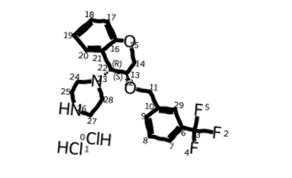 Cl.Cl.FC(F)(F)c1cccc(CO[C@@H]2COc3ccccc3[C@H]2N2CCNCC2)c1